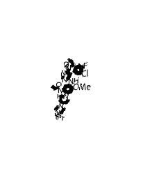 C=CC(=O)Nc1cc(Nc2cc(N3OCC[C@@H]3c3ccc(Cl)c(F)c3)ncn2)c(OC)cc1N1CCC(N2CCN(C(C)C)CC2)CC1